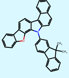 CC1(C)c2ccccc2-c2ccc(-n3c4ccc5ccccc5c4c4ccc5c6ccccc6oc5c43)cc21